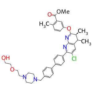 COC(=O)c1cc(OC2=Nc3nc(-c4ccc(-c5ccc(CN6CCN(CCOCCO)CC6)cc5)cc4)c(Cl)cc3C(C)[C@@H]2C)ccc1C